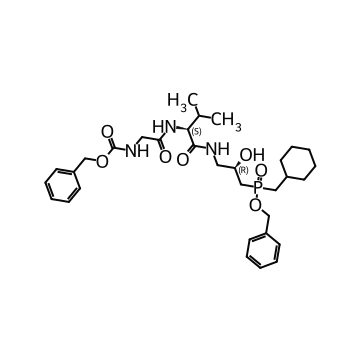 CC(C)[C@H](NC(=O)CNC(=O)OCc1ccccc1)C(=O)NC[C@@H](O)CP(=O)(CC1CCCCC1)OCc1ccccc1